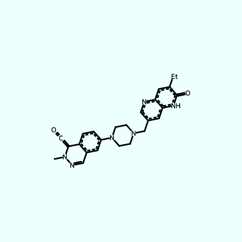 CCc1cc2ncc(CN3CCN(c4ccc5c(c4)C=NN(C)C5=C=O)CC3)cc2[nH]c1=O